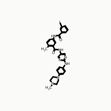 Cc1ccc(NC(=O)c2cccc(I)c2)cc1C(=O)Nc1cnc(Nc2ccc(N3CCN(C)CC3)cc2)nc1